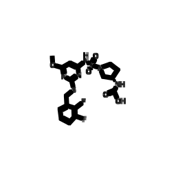 COc1cc(NS(=O)(=O)N2CC[C@H](NC(=O)O)C2)nc(SCc2cccc(F)c2F)n1